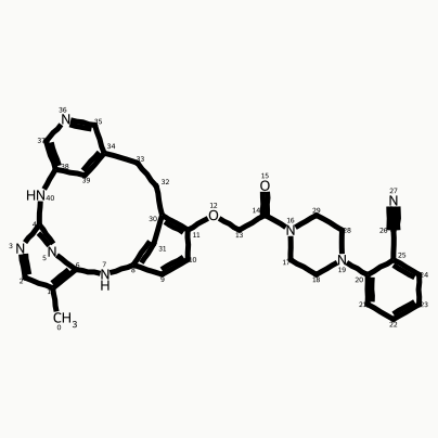 Cc1cnc2nc1Nc1ccc(OCC(=O)N3CCN(c4ccccc4C#N)CC3)c(c1)CCc1cncc(c1)N2